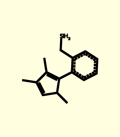 CC1=CC(C)C(c2ccccc2C[SiH3])=C1C